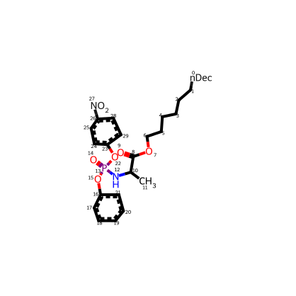 CCCCCCCCCCCCCCCCOC(=O)C(C)NP(=O)(Oc1ccccc1)Oc1ccc([N+](=O)[O-])cc1